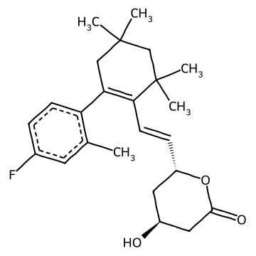 Cc1cc(F)ccc1C1=C(C=C[C@H]2C[C@H](O)CC(=O)O2)C(C)(C)CC(C)(C)C1